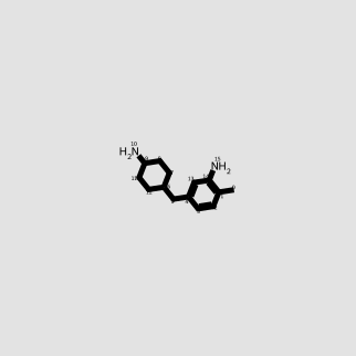 Cc1ccc(CC2CCC(N)CC2)cc1N